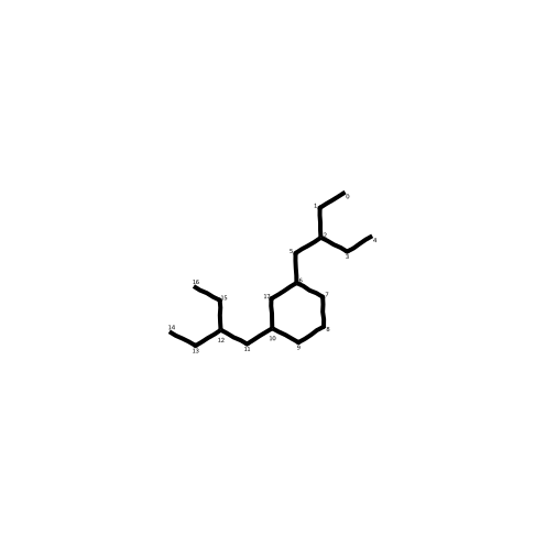 CCC(CC)CC1CCCC(CC(CC)CC)C1